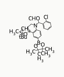 CC1(C)OB(c2ccc3c(c2)C(O[Si](C)(C)C(C)(C)C)CCN3C(C=O)c2ccccc2Cl)OC1(C)C